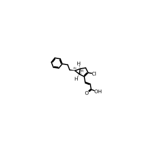 O=C(O)C=CC1=C(Cl)C[C@@H]2[C@H](CCc3ccccc3)[C@H]12